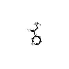 N[CH]C(=O)c1cccnc1